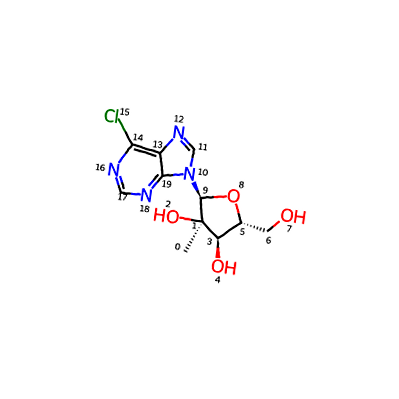 C[C@@]1(O)[C@H](O)[C@@H](CO)O[C@@H]1n1cnc2c(Cl)ncnc21